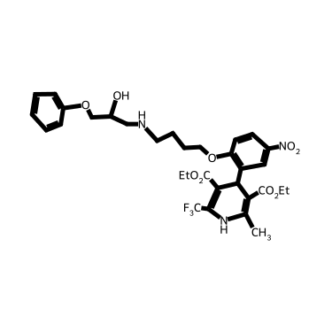 CCOC(=O)C1=C(C)NC(C(F)(F)F)=C(C(=O)OCC)C1c1cc([N+](=O)[O-])ccc1OCCCCNCC(O)COc1ccccc1